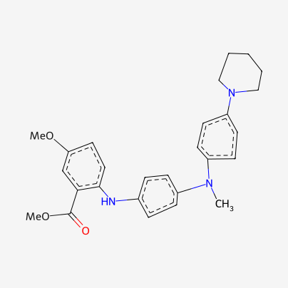 COC(=O)c1cc(OC)ccc1Nc1ccc(N(C)c2ccc(N3CCCCC3)cc2)cc1